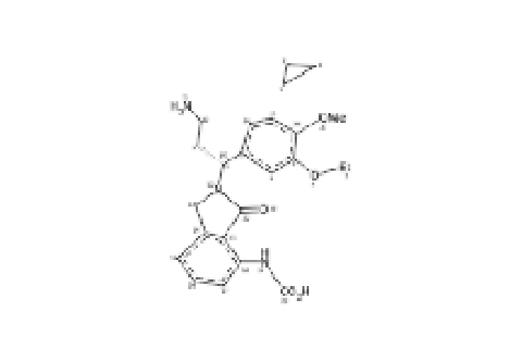 C1CC1.CCOc1cc([C@@H](CCN)N2Cc3cccc(NC(=O)O)c3C2=O)ccc1OC